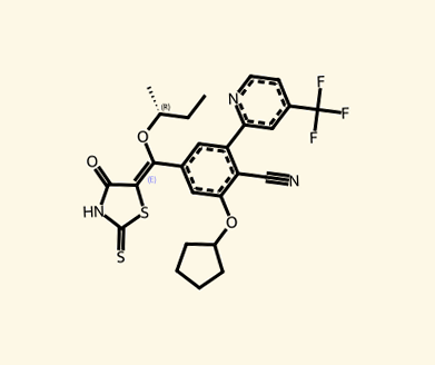 CC[C@@H](C)O/C(=C1/SC(=S)NC1=O)c1cc(OC2CCCC2)c(C#N)c(-c2cc(C(F)(F)F)ccn2)c1